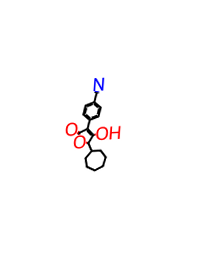 N#Cc1ccc(C2=C(O)C(C3CCCCCC3)OC2=O)cc1